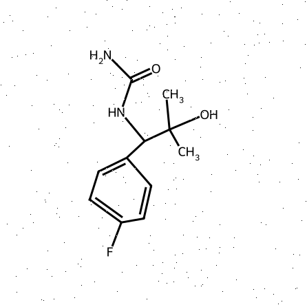 CC(C)(O)C(NC(N)=O)c1ccc(F)cc1